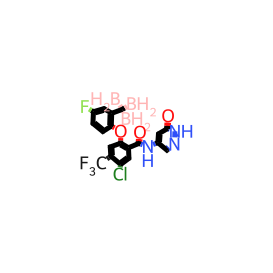 BC(B)(B)c1cc(F)ccc1Oc1cc(C(F)(F)F)c(Cl)cc1C(=O)Nc1cn[nH]c(=O)c1